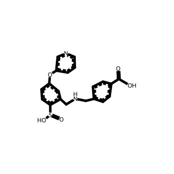 O=C(O)c1ccc(CNCc2cc(Oc3cccnc3)ccc2S(=O)O)cc1